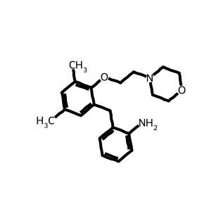 Cc1cc(C)c(OCCN2CCOCC2)c(Cc2ccccc2N)c1